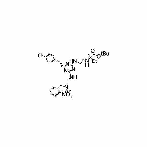 CCC(C)(NCCNc1nc(NCCN(Cc2ccccc2[N+](=O)[O-])C(C)=O)nc(SCc2ccc(Cl)cc2)n1)C(=O)OC(C)(C)C